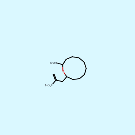 C=C(CC1CCCCCCCCC(CCCCCC)O1)C(=O)O